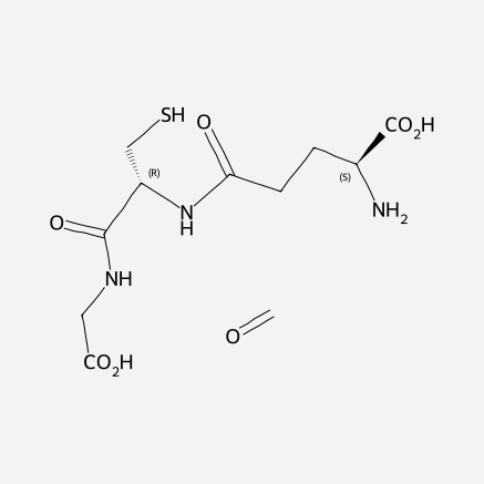 C=O.N[C@@H](CCC(=O)N[C@@H](CS)C(=O)NCC(=O)O)C(=O)O